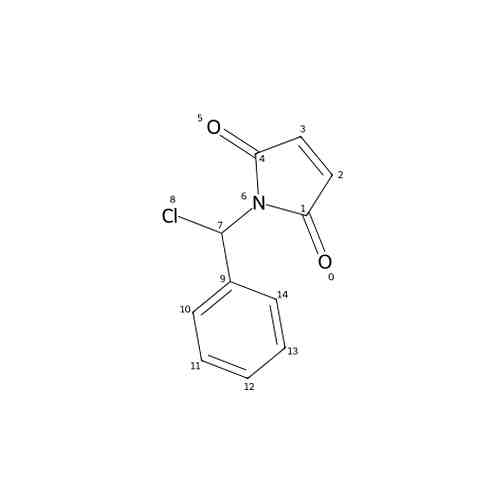 O=C1C=CC(=O)N1C(Cl)c1ccccc1